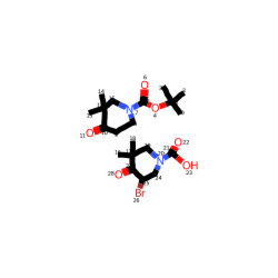 CC(C)(C)OC(=O)N1CCC(=O)C(C)(C)C1.CC1(C)CN(C(=O)O)CC(Br)C1=O